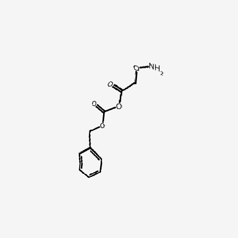 NOCC(=O)OC(=O)OCc1ccccc1